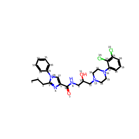 CCCc1nc(C(=O)NCC(O)CN2CCN(c3cccc(Cl)c3Cl)CC2)cn1-c1ccccc1